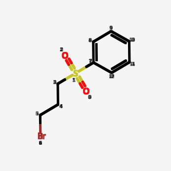 O=S(=O)(CCCBr)c1ccccc1